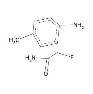 Cc1ccc(N)cc1.NC(=O)CF